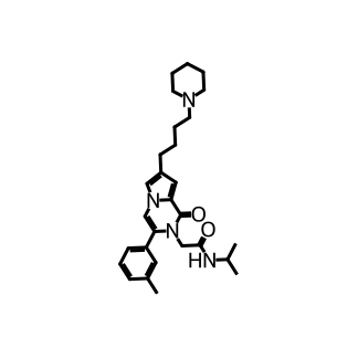 Cc1cccc(-c2cn3cc(CCCCN4CCCCC4)cc3c(=O)n2CC(=O)NC(C)C)c1